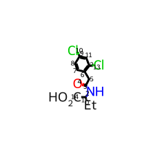 CCC(NC(=O)Cc1ccc(Cl)cc1Cl)C(=O)O